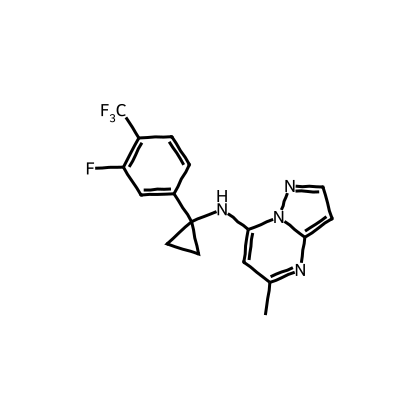 Cc1cc(NC2(c3ccc(C(F)(F)F)c(F)c3)CC2)n2nccc2n1